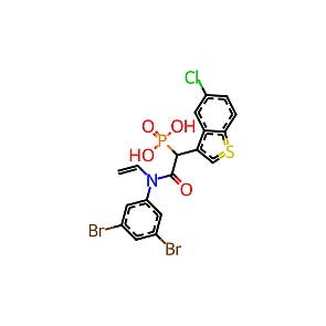 C=CN(C(=O)C(c1csc2ccc(Cl)cc12)P(=O)(O)O)c1cc(Br)cc(Br)c1